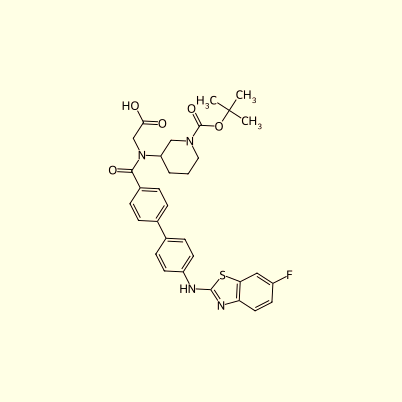 CC(C)(C)OC(=O)N1CCCC(N(CC(=O)O)C(=O)c2ccc(-c3ccc(Nc4nc5ccc(F)cc5s4)cc3)cc2)C1